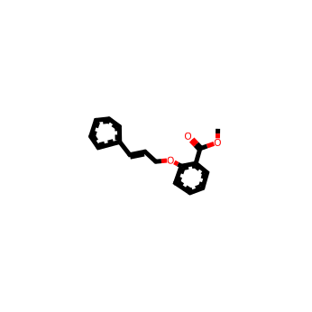 COC(=O)c1ccccc1OCC=Cc1ccccc1